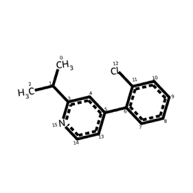 CC(C)c1cc(-c2ccccc2Cl)ccn1